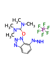 CN(C)C(On1nnc2cccc(N=N)c21)=[N+](C)C.F[P-](F)(F)(F)(F)F